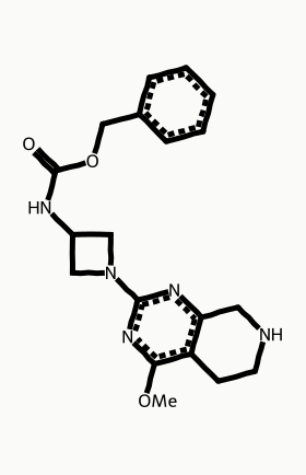 COc1nc(N2CC(NC(=O)OCc3ccccc3)C2)nc2c1CCNC2